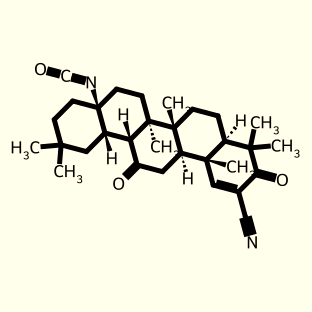 CC1(C)CC[C@]2(N=C=O)CC[C@]3(C)[C@H](C(=O)C[C@@H]4[C@@]5(C)C=C(C#N)C(=O)C(C)(C)[C@@H]5CC[C@]43C)[C@@H]2C1